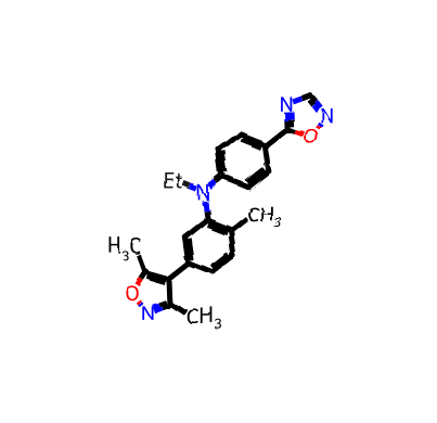 CCN(c1ccc(-c2ncno2)cc1)c1cc(-c2c(C)noc2C)ccc1C